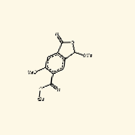 COc1cc2c(cc1C(=O)OC(C)(C)C)C(OC)OC2=O